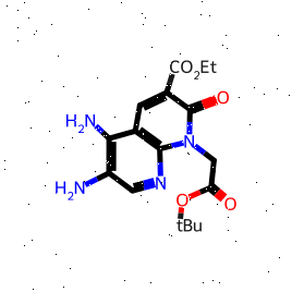 CCOC(=O)c1cc2c(N)c(N)cnc2n(CC(=O)OC(C)(C)C)c1=O